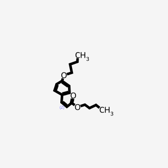 CCCCOC(=O)/C=C\c1ccc(OCCCC)cc1